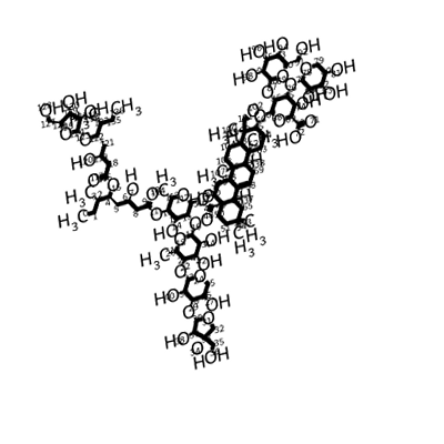 CC[C@H](C)[C@H](C[C@H](O)CC(=O)O[C@@H]1[C@H](O)[C@@H](O[C@@H]2O[C@@H](C)[C@H](O[C@@H]3OC[C@@H](O)[C@H](O[C@@H]4OC[C@](O)(CO)[C@H]4O)[C@H]3O)[C@@H](O)[C@H]2O)[C@H](OC(=O)[C@]23CCC(C)(C)C[C@H]2C2=CC[C@@H]4[C@@]5(C)CC[C@H](O[C@@H]6O[C@H](C(=O)O)[C@@H](O)[C@H](O[C@@H]7OC[C@@H](O)[C@H](O)[C@H]7O)[C@H]6O[C@@H]6O[C@H](CO)[C@H](O)[C@H](O)[C@H]6O)[C@@](C)(C=O)[C@@H]5CC[C@@]4(C)C2C[C@H]3O)O[C@@H]1C)OC(=O)C[C@@H](O)C[C@H](O[C@@H]1O[C@@H](CO)[C@H](O)[C@H]1O)[C@@H](C)CC